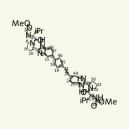 COO/C=N\[C@H](C(=O)N1CCC[C@H]1c1nc2cc(-c3ccc(C#Cc4ccc5[nH]c([C@@H]6CCCN6C(=O)[C@@H](NC(=O)OC)C(C)C)nc5c4)cc3)ccc2[nH]1)C(C)C